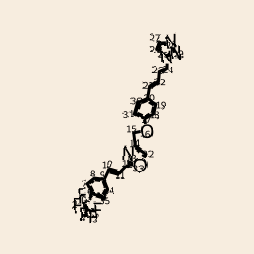 FS(F)(F)(F)(F)c1ccc(C=Cc2nc(COc3ccc(C=CCCn4ccnn4)cc3)co2)cc1